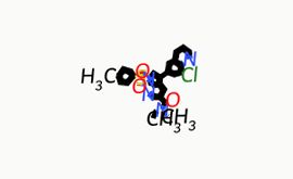 CCN(C)C(=O)c1cnc2c(c1)c(-c1cc(Cl)c3ncccc3c1)cn2S(=O)(=O)c1ccc(C)cc1